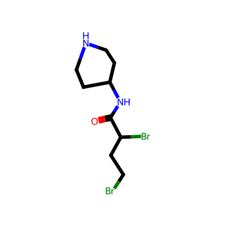 O=C(NC1CCNCC1)C(Br)CCBr